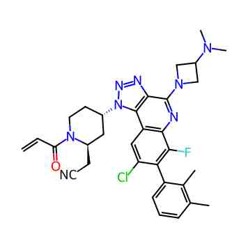 C=CC(=O)N1CC[C@H](n2nnc3c(N4CC(N(C)C)C4)nc4c(F)c(-c5cccc(C)c5C)c(Cl)cc4c32)C[C@H]1CC#N